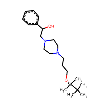 CC(C)(C)[Si](C)(C)OCCCN1CCN(CC(O)c2ccccc2)CC1